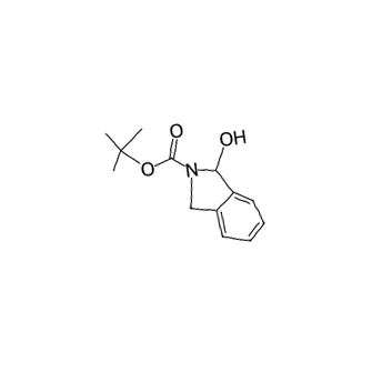 CC(C)(C)OC(=O)N1Cc2ccccc2C1O